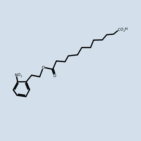 O=C(O)CCCCCCCCCCC(=O)OCCc1ccccc1[N+](=O)[O-]